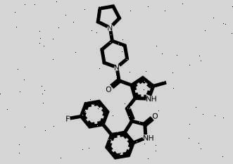 Cc1cc(C(=O)N2CCC(N3CCCC3)CC2)c(/C=C2\C(=O)Nc3cccc(-c4cccc(F)c4)c32)[nH]1